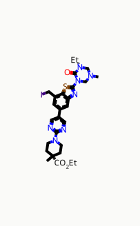 CCOC(=O)C1(C)CCN(c2ncc(-c3cc(CI)c4sc(N5CN(C)CN(CC)C5=O)nc4c3)cn2)CC1